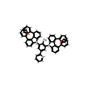 N#Cc1c(-n2c3cccc(-c4ccccc4)c3c3c(-c4ccccc4)cccc32)cc(-c2ccccn2)cc1-n1c2cccc(-c3ccccc3)c2c2c(-c3ccccc3)cccc21